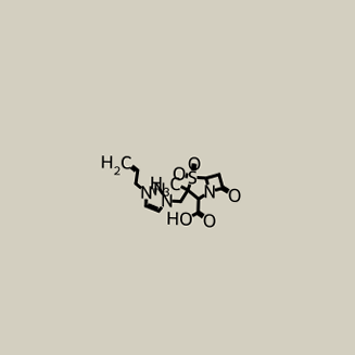 C=CC[n+]1ccn(CC2(C)C(C(=O)O)N3C(=O)CC3S2(=O)=O)n1